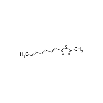 C/C=C/C=C/C=C/c1ccc(C)s1